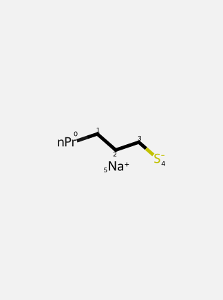 CCCCCC[S-].[Na+]